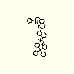 c1ccc(-c2ccc3ccc4ccc(-c5cccc6c(-c7ccc8c9c(ccc8n7)-c7ccccc7C9(c7ccccc7)c7ccccc7)cccc56)nc4c3n2)cc1